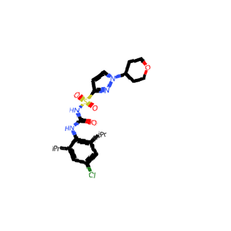 CC(C)c1cc(Cl)cc(C(C)C)c1NC(=O)NS(=O)(=O)c1ccn(C2CCOCC2)n1